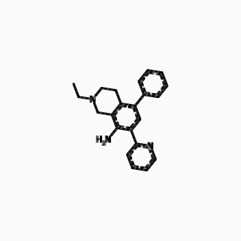 CCN1CCc2c(-c3ccccc3)cc(-c3ccccn3)c(N)c2C1